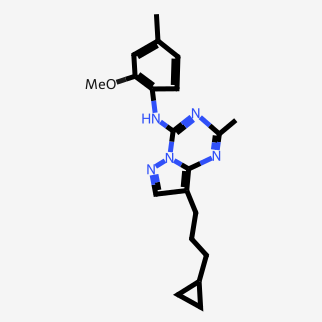 COc1cc(C)ccc1Nc1nc(C)nc2c(CCCC3CC3)cnn12